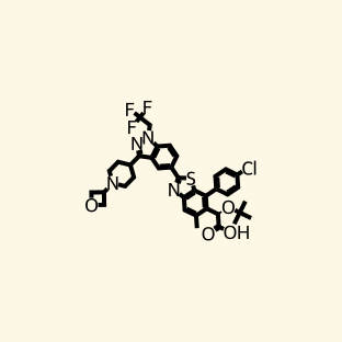 Cc1cc2nc(-c3ccc4c(c3)c(C3CCN(C5COC5)CC3)nn4CC(F)(F)F)sc2c(-c2ccc(Cl)cc2)c1[C@H](OC(C)(C)C)C(=O)O